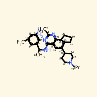 Cc1nc(NC(C)c2cc(N)cc(C(F)(F)F)c2)c2cc(C3CCN(C(C)C)CC3)c3c(c2n1)CCC3